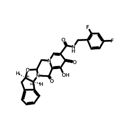 O=C(NCc1ccc(F)cc1F)c1cn2c(c(O)c1=O)C(=O)N1C(C2)O[C@@H]2Cc3ccccc3[C@@H]21